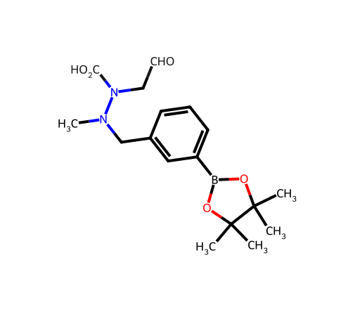 CN(Cc1cccc(B2OC(C)(C)C(C)(C)O2)c1)N(CC=O)C(=O)O